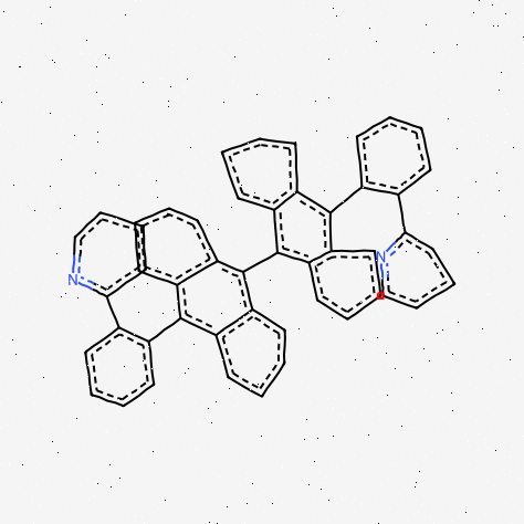 c1ccc(-c2ccccc2-c2c3ccccc3c(-c3c4ccccc4c(-c4ccccc4-c4ccccn4)c4ccccc34)c3ccccc23)nc1